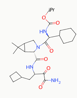 CC(C)OC(=O)N[C@H](C(=O)N1CC2C([C@H]1C(=O)NC(CC1CCC1)C(=O)C(N)=O)C2(C)C)C1CCCCC1